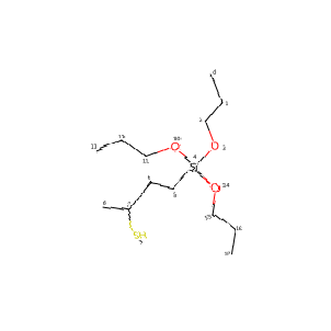 CCCO[Si](CCC(C)S)(OCCC)OCCC